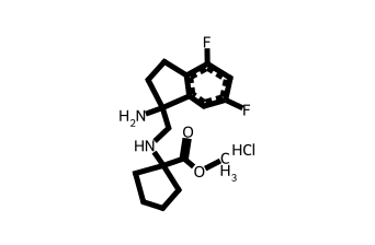 COC(=O)C1(NCC2(N)CCc3c(F)cc(F)cc32)CCCC1.Cl